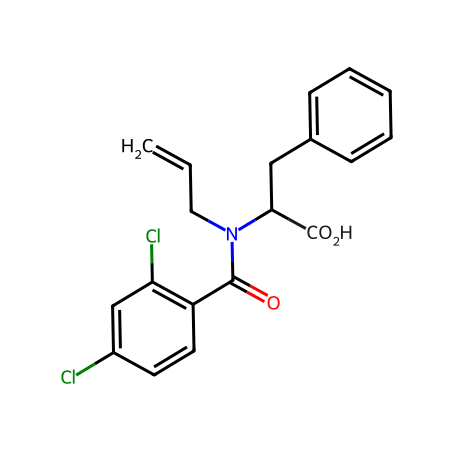 C=CCN(C(=O)c1ccc(Cl)cc1Cl)C(Cc1ccccc1)C(=O)O